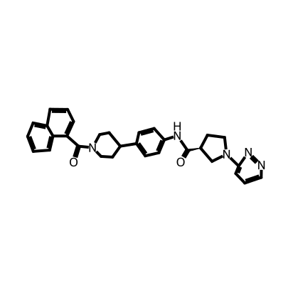 O=C(Nc1ccc(C2CCN(C(=O)c3cccc4ccccc34)CC2)cc1)[C@H]1CCN(c2cccnn2)C1